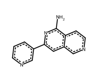 Nc1nc(-c2cccnc2)cc2cnccc12